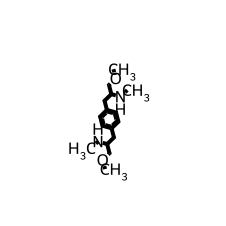 CNC(COC)Cc1ccc(CC(COC)NC)cc1